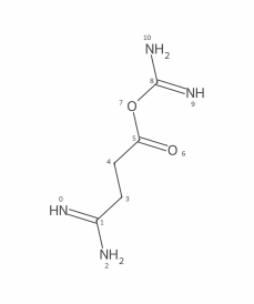 N=C(N)CCC(=O)OC(=N)N